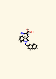 N#C/C(=C\c1cn(Cc2ccc3ccccc3c2)c2ccccc12)C(=O)O